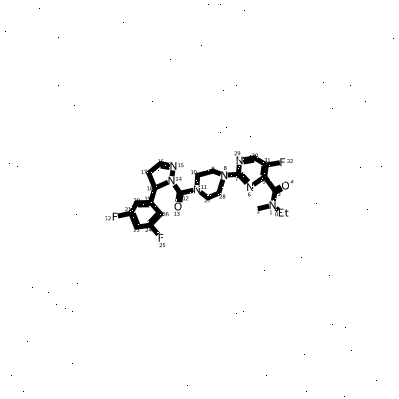 CCN(C)C(=O)c1nc(N2CCN(C(=O)N3N=CCC3c3cc(F)cc(F)c3)CC2)ncc1F